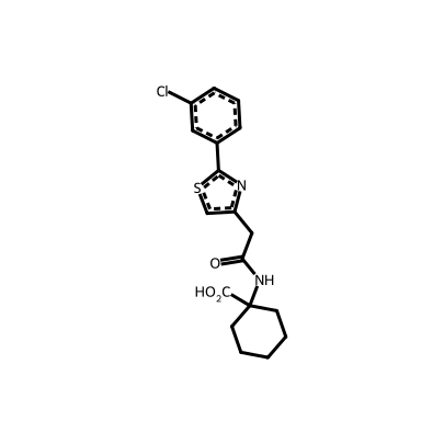 O=C(Cc1csc(-c2cccc(Cl)c2)n1)NC1(C(=O)O)CCCCC1